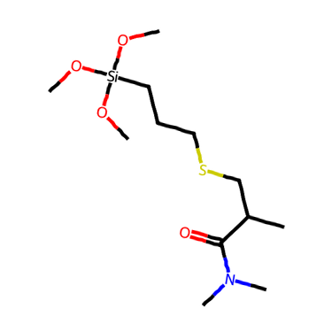 CO[Si](CCCSCC(C)C(=O)N(C)C)(OC)OC